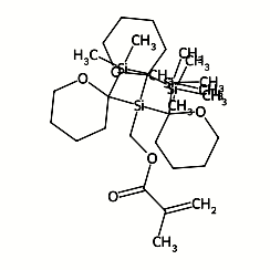 C=C(C)C(=O)OC[Si](C1([Si](C)(C)C)CCCCO1)(C1([Si](C)(C)C)CCCCO1)C1([Si](C)(C)C)CCCCO1